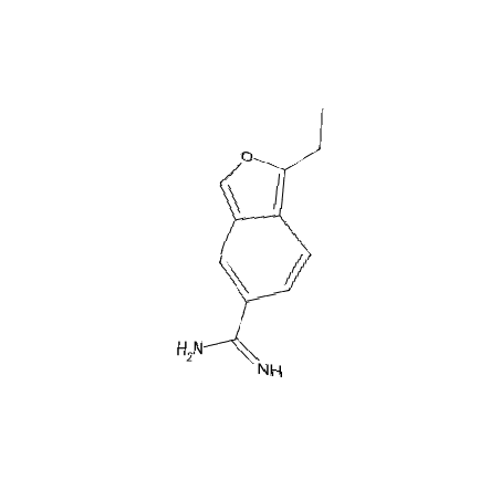 CCc1occ2cc(C(=N)N)ccc12